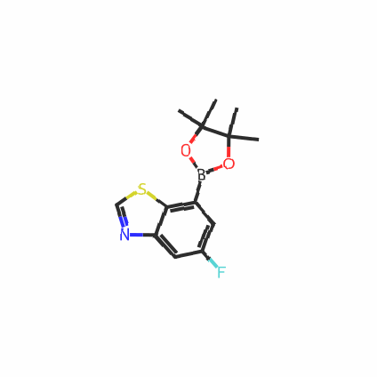 CC1(C)OB(c2cc(F)cc3ncsc23)OC1(C)C